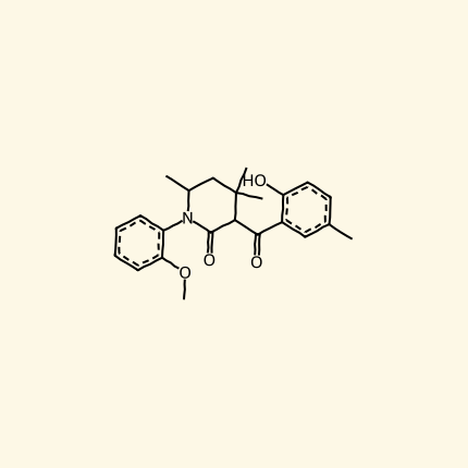 COc1ccccc1N1C(=O)C(C(=O)c2cc(C)ccc2O)C(C)(C)CC1C